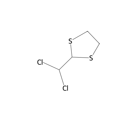 ClC(Cl)C1SCCS1